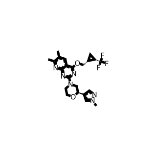 Cc1cc2c(OC[C@@H]3C[C@@H]3C(F)(F)F)nc(N3CCO[C@H](c4cnn(C)c4)C3)nc2nc1C